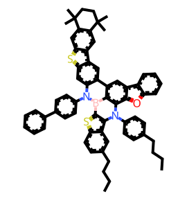 CCCCc1ccc(N2c3c(sc4ccc(CCCC)cc34)B3c4c(cc5c(oc6ccccc65)c42)-c2cc4c(cc2N3c2ccc(-c3ccccc3)cc2)sc2cc3c(cc24)C(C)(C)CCC3(C)C)cc1